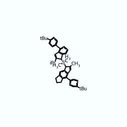 CC1=Cc2c(cc3c(c2-c2ccc(C(C)(C)C)cc2)CCC3)C1S(C)(C)C1C(C(C)C)=Cc2c(-c3ccc(C(C)(C)C)cc3)cccc21